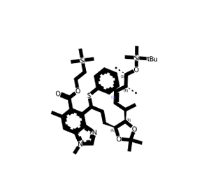 Cc1cc2c(ncn2C)c(C(CC[C@@H]2OC(C)(C)O[C@@H]2C(C)/C=C\[C@@H](C)[C@H](C)O[Si](C)(C)C(C)(C)C)Sc2ccccc2)c1C(=O)OCC[Si](C)(C)C